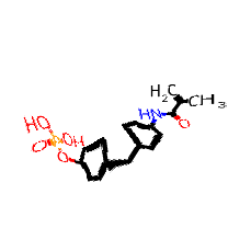 C=C(C)C(=O)Nc1ccc(Cc2ccc(OP(=O)(O)O)cc2)cc1